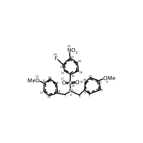 COc1ccc(CN(Cc2ccc(OC)cc2)S(=O)(=O)c2ccc([N+](=O)[O-])c(F)c2)cc1